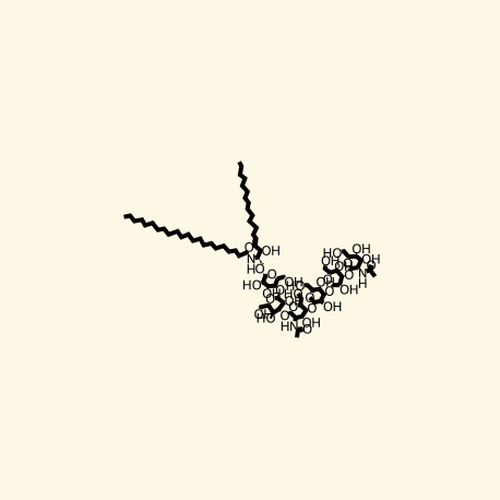 CCCCCCCCCCCCC/C=C/[C@@H](O)[C@H](CO[C@@H]1OC(CO)[C@@H](O[C@@H]2OC(CO)[C@H](O)[C@H](O[C@@H]3OC(CO)[C@@H](O[C@@H]4OC(CO)[C@H](O)[C@H](O[C@H]5OC(CO)[C@H](O)[C@H](O[C@@H]6OC(CO)[C@H](O)[C@H](O)C6NC(C)=O)C5O)C4O)[C@H](O)C3NC(C)=O)C2O)[C@H](O)C1O)NC(=O)CCCCCCCCCCCCCCCCCCCCC